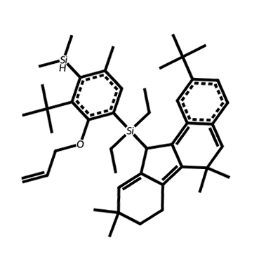 C=CCOc1c([Si](CC)(CC)C2C3=CC(C)(C)CCC3=C3C2=c2cc(C(C)(C)C)ccc2=CC3(C)C)cc(C)c([SiH](C)C)c1C(C)(C)C